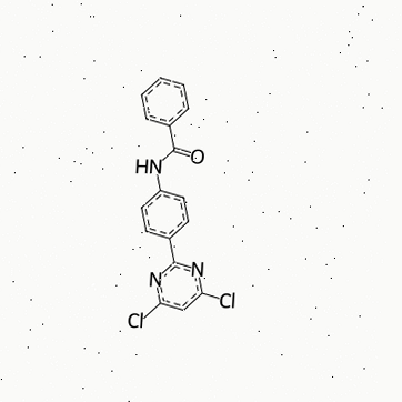 O=C(Nc1ccc(-c2nc(Cl)cc(Cl)n2)cc1)c1ccccc1